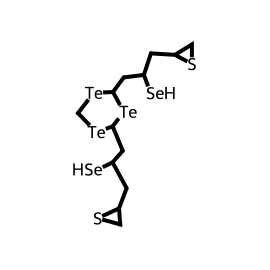 [SeH]C(CC1CS1)CC1[Te]C[Te]C(CC([SeH])CC2CS2)[Te]1